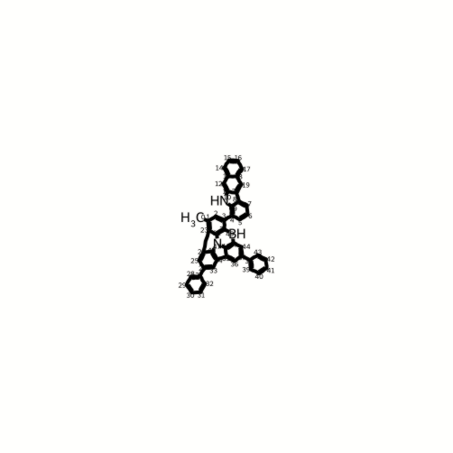 Cc1cc(-c2cccc3c2[nH]c2cc4ccccc4cc23)c2c3c1c1cc(-c4ccccc4)cc4c5cc(-c6ccccc6)cc(c5n3c41)B2